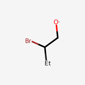 CCC(Br)C[O]